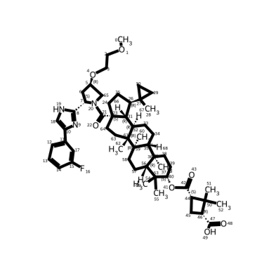 COCCO[C@@H]1C[C@@H](c2nc(-c3cccc(F)c3)c[nH]2)N(C(=O)[C@]23CC[C@@H](C4(C)CC4)[C@@H]2[C@H]2CC[C@@H]4[C@@]5(C)CC[C@H](OC(=O)[C@H]6C[C@@H](C(=O)O)C6(C)C)C(C)(C)[C@@H]5CC[C@@]4(C)[C@]2(C)CC3)C1